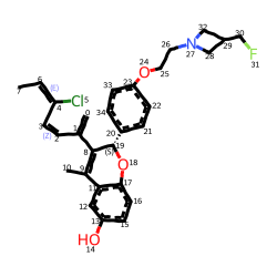 C=C(/C=C\C(Cl)=C/C)C1=C(C)c2cc(O)ccc2O[C@H]1c1ccc(OCCN2CC(CF)C2)cc1